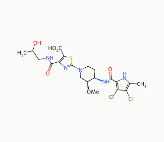 CO[C@H]1CN(c2nc(C(=O)NCC(C)O)c(C(=O)O)s2)CC[C@H]1NC(=O)c1[nH]c(C)c(Cl)c1Cl